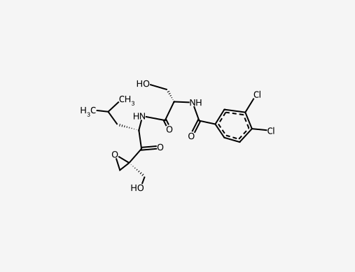 CC(C)C[C@H](NC(=O)[C@H](CO)NC(=O)c1ccc(Cl)c(Cl)c1)C(=O)[C@@]1(CO)CO1